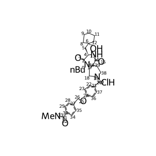 CCCCN1C(=O)[C@@H](CC2(O)CCCCC2)NC(=O)C12CCN(Cc1ccc(OCc3ccc(C(=O)NC)cc3)cc1)CC2.Cl